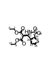 CCOC(=O)C(C(=O)OCC)=C1NS(=O)(=O)c2sccc21